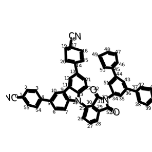 N#Cc1ccc(-c2ccc3c(c2)c2cc(-c4ccc(C#N)cc4)ccc2n3-c2cccc3c2C(=O)N(c2cc(-c4ccccc4)cc(-c4ccccc4)c2)C3=O)cc1